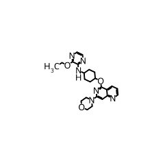 CCOc1nccnc1NC1CCC(Oc2nc(N3CCOCC3)cc3ncccc23)CC1